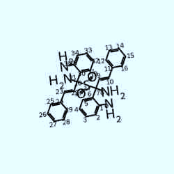 Nc1ccccc1C(N)(C=Cc1ccccc1)S(=O)(=O)C(N)(C=Cc1ccccc1)c1ccccc1N